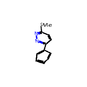 CSc1ccc(-c2ccccc2)nn1